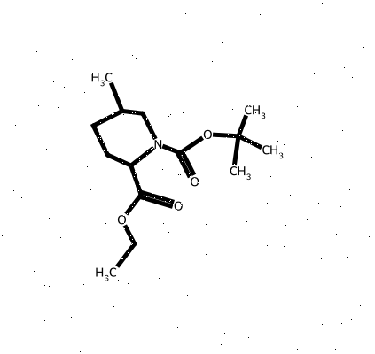 CCOC(=O)C1CCC(C)CN1C(=O)OC(C)(C)C